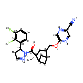 N#Cc1cnc(OCC2C[C@H](C(=O)N3N=CCC3c3cccc(F)c3F)C3CC2C3)cn1